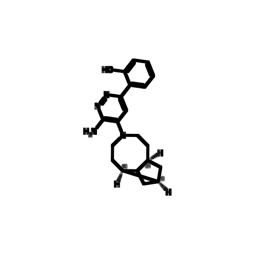 Nc1nnc(-c2ccccc2O)cc1N1CC[C@H]2C[C@H]3CC2[C@@H]3CC1